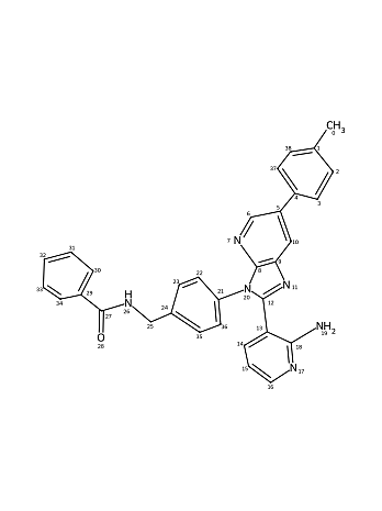 Cc1ccc(-c2cnc3c(c2)nc(-c2cccnc2N)n3-c2ccc(CNC(=O)c3ccccc3)cc2)cc1